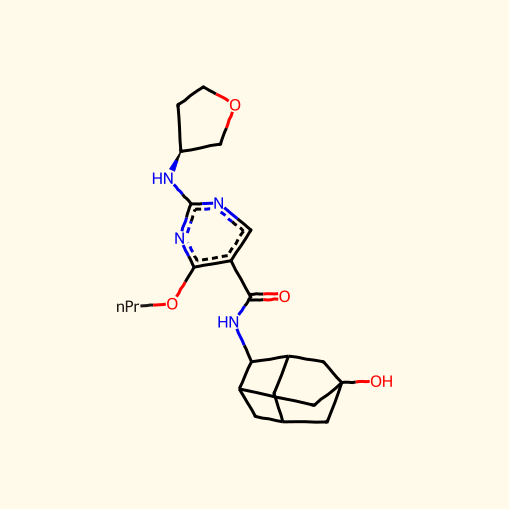 CCCOc1nc(N[C@H]2CCOC2)ncc1C(=O)NC1C2CC3CC1CC(O)(C3)C2